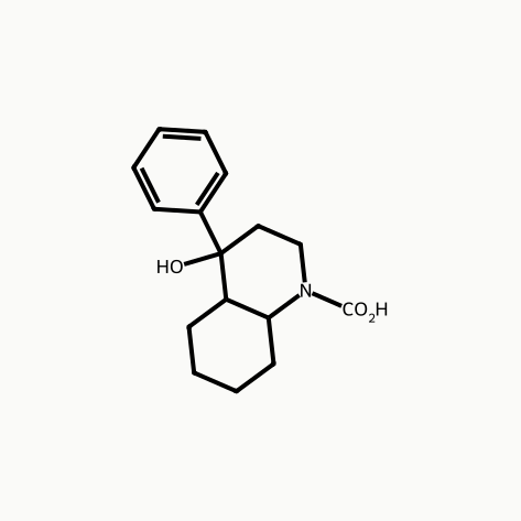 O=C(O)N1CCC(O)(c2ccccc2)C2CCCCC21